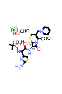 CC(C)(O/N=C(\C(=O)N[C@@H]1C(=O)N2C(C(=O)[O-])=C(C[n+]3ccccc3)CS[C@H]12)c1csc(N)n1)C(=O)O.Cl.Cl.O=CO